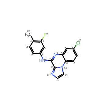 Fc1cc(Nc2nc3cc(Cl)ccc3n3ccnc23)ccc1C(F)(F)F